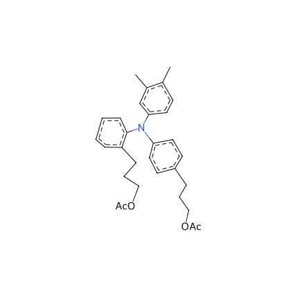 CC(=O)OCCCc1ccc(N(c2ccc(C)c(C)c2)c2ccccc2CCCOC(C)=O)cc1